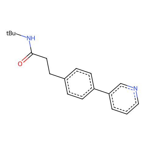 CC(C)(C)NC(=O)CCc1ccc(-c2cccnc2)cc1